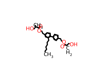 C=C(CO)C(=O)OCCc1ccc(-c2ccc(CCOC(=O)C(C)CO)cc2CCCCCCC)cc1